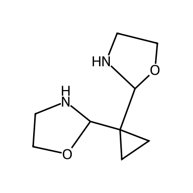 C1COC(C2(C3NCCO3)CC2)N1